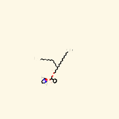 CCCCCCCC/C=C\CCCC(CCCCCCCCCCCC)CCCC(=O)OCC(C(=O)O[C@H]1C[C@H]2CC[C@@H](C1)N2C)c1ccccc1